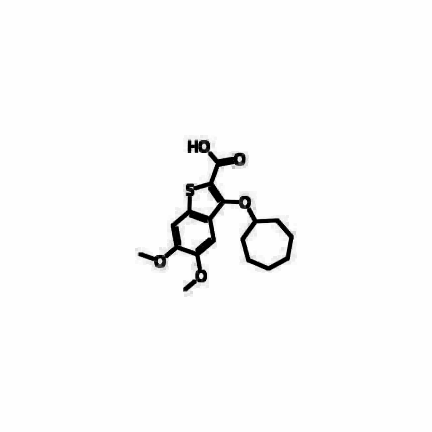 COc1cc2sc(C(=O)O)c(OC3CCCCCC3)c2cc1OC